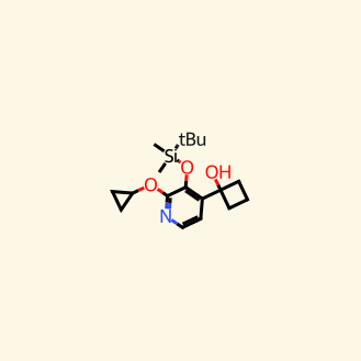 CC(C)(C)[Si](C)(C)Oc1c(C2(O)CCC2)ccnc1OC1CC1